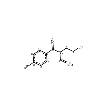 C=CN(CCCl)C(=O)c1ccc(F)cc1